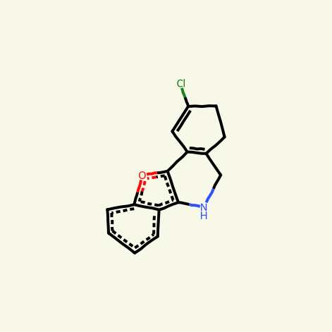 ClC1=CC2=C(CC1)CNc1c2oc2ccccc12